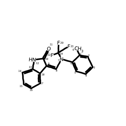 Cc1ccccc1N(C=C1C(=O)Nc2ccccc21)C(F)(F)F